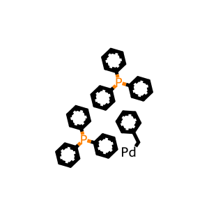 [Pd][CH2]c1ccccc1.c1ccc(P(c2ccccc2)c2ccccc2)cc1.c1ccc(P(c2ccccc2)c2ccccc2)cc1